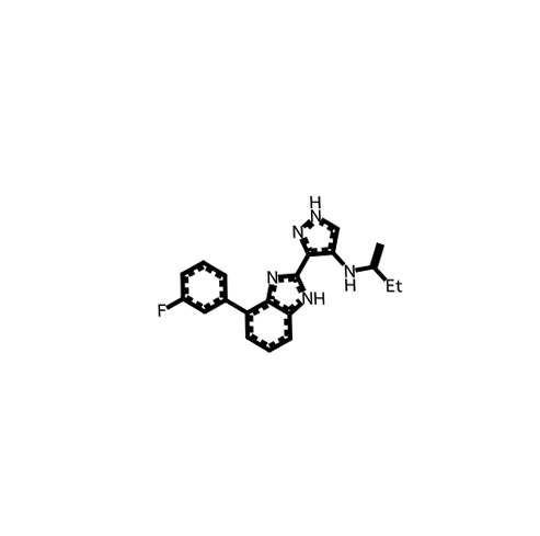 C=C(CC)Nc1c[nH]nc1-c1nc2c(-c3cccc(F)c3)cccc2[nH]1